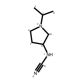 CC(C)N1CCC(NC#N)C1